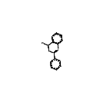 OC1CC(c2ccccc2)=Nc2ccccc21